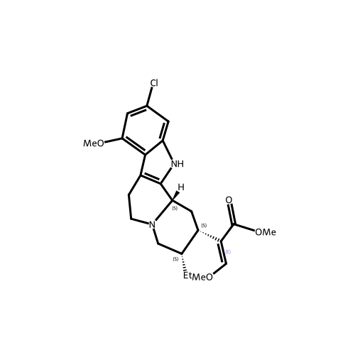 CC[C@@H]1CN2CCc3c([nH]c4cc(Cl)cc(OC)c34)[C@@H]2C[C@@H]1/C(=C\OC)C(=O)OC